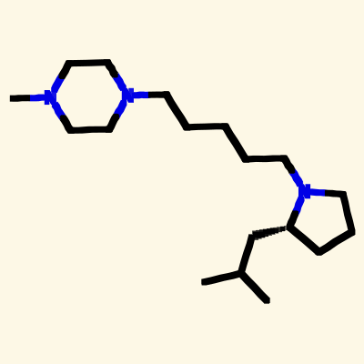 CC(C)C[C@H]1CCCN1CCCCCN1CCN(C)CC1